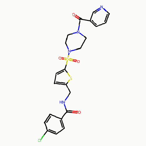 O=C(NCc1ccc(S(=O)(=O)N2CCN(C(=O)c3cccnc3)CC2)s1)c1ccc(Cl)cc1